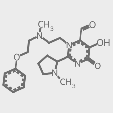 CN(CCOc1ccccc1)CCn1c(C2CCCN2C)nc(=O)c(O)c1C=O